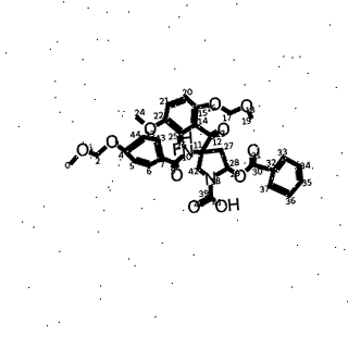 COCOc1ccc(C(=O)NC2(C(=O)c3c(OCOC)ccc(OC)c3F)CC(OC(=O)c3ccccc3)N(C(=O)O)C2)cc1